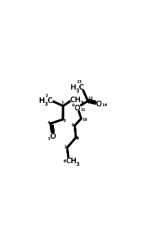 CC(C)CC=O.CCCCCOC(C)=O